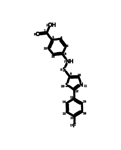 O=C(O)c1ccc(NSc2cnc(-c3ccc(F)cc3)s2)cc1